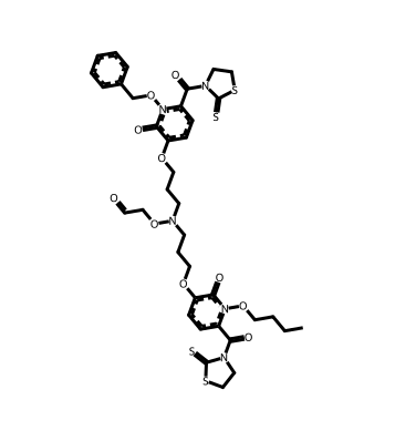 CCCCOn1c(C(=O)N2CCSC2=S)ccc(OCCCN(CCCOc2ccc(C(=O)N3CCSC3=S)n(OCc3ccccc3)c2=O)OCC=O)c1=O